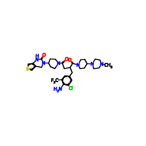 CN1CCN(C2CCN(C(=O)C(CC(=O)N3CCC(N4Cc5cscc5NC4=O)CC3)Cc3cc(Cl)c(N)c(C(F)(F)F)c3)CC2)CC1